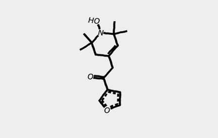 CC1(C)C=C(CC(=O)c2ccoc2)CC(C)(C)N1O